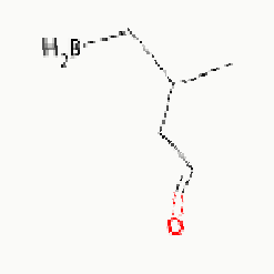 BCC(C)CC=O